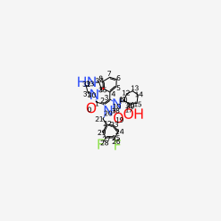 O=C(c1c(-c2ccccc2)n([C@H]2CCCC[C@H]2O)c(=O)n1Cc1ccc(F)c(F)c1)N1CCNCC1